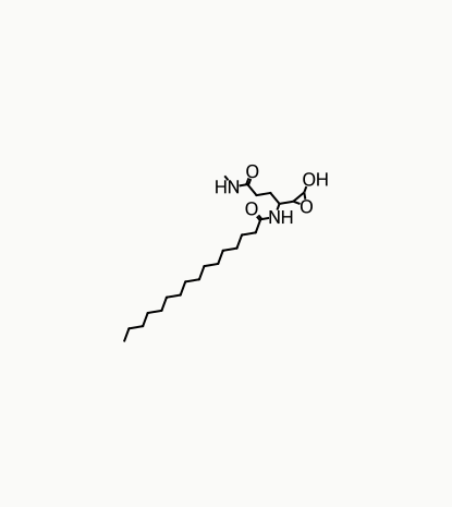 CCCCCCCCCCCCCCCC(=O)NC(CCC(=O)NC)C1OC1O